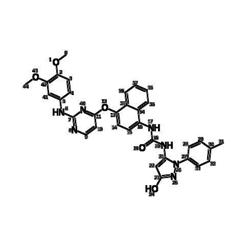 COc1ccc(Nc2nccc(Oc3ccc(NC(=O)Nc4cc(O)nn4-c4ccc(C)cc4)c4ccccc34)n2)cc1OC